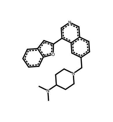 CN(C)C1CCN(Cc2ccc3cncc(-c4cc5ccccc5o4)c3c2)CC1